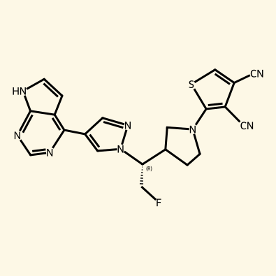 N#Cc1csc(N2CCC([C@H](CF)n3cc(-c4ncnc5[nH]ccc45)cn3)C2)c1C#N